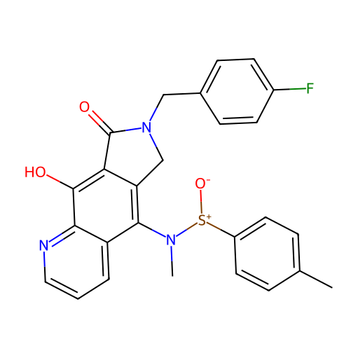 Cc1ccc([S+]([O-])N(C)c2c3c(c(O)c4ncccc24)C(=O)N(Cc2ccc(F)cc2)C3)cc1